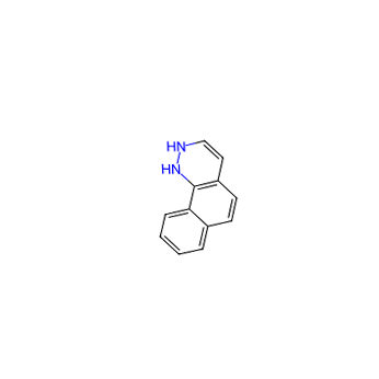 C1=Cc2ccc3ccccc3c2NN1